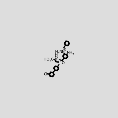 Nc1ccc(C(=O)N[C@H](Cc2ccc(-c3cccc(Cl)c3)cc2)CC(O)C(=O)O)cc1N(N)OCc1ccccc1